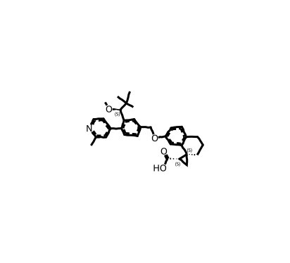 CO[C@H](c1cc(COc2ccc3c(c2)[C@@]2(CCC3)C[C@@H]2C(=O)O)ccc1-c1ccnc(C)c1)C(C)(C)C